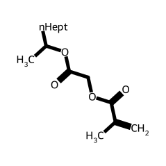 C=C(C)C(=O)OCC(=O)OC(C)CCCCCCC